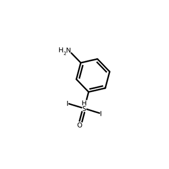 Nc1cccc([SH](=O)(I)I)c1